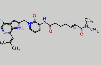 CC(C)=Cc1ncc(F)c2cc(Cn3cccc(NC(=O)CCC/C=C/C(=O)N(C)C)c3=O)[nH]c12